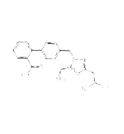 CCc1nc(CC(C)C)nn1Cc1ccc(-c2ccccc2C(=O)O)cc1